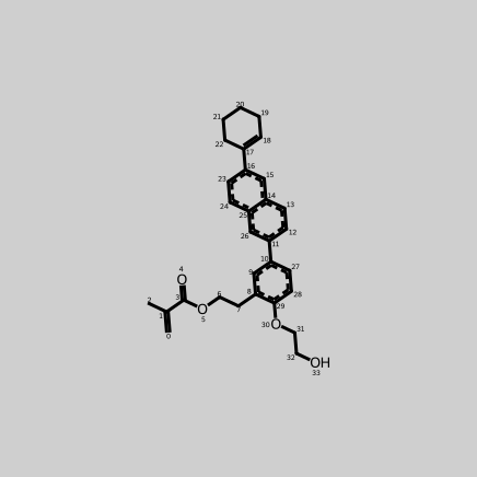 C=C(C)C(=O)OCCc1cc(-c2ccc3cc(C4=CCCCC4)ccc3c2)ccc1OCCO